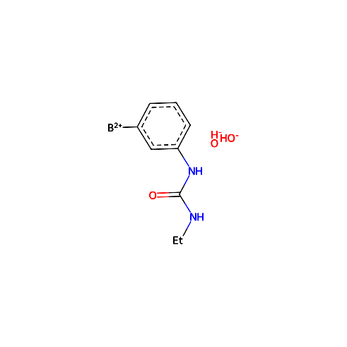 [B+2]c1cccc(NC(=O)NCC)c1.[OH-].[OH-]